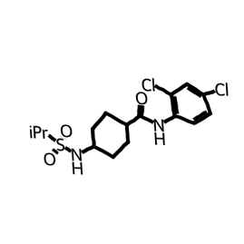 CC(C)S(=O)(=O)NC1CCC(C(=O)Nc2ccc(Cl)cc2Cl)CC1